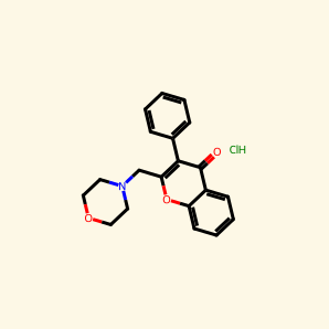 Cl.O=c1c(-c2ccccc2)c(CN2CCOCC2)oc2ccccc12